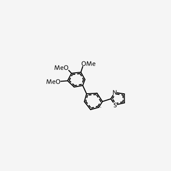 COc1cc(-c2cc[c]c(-c3nccs3)c2)cc(OC)c1OC